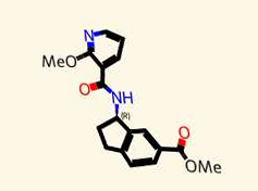 COC(=O)c1ccc2c(c1)[C@H](NC(=O)c1cccnc1OC)CC2